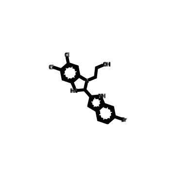 OCCN1c2cc(Cl)c(Cl)cc2NC1c1cc2ccc(Br)cc2[nH]1